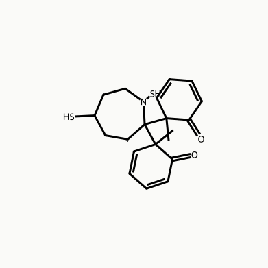 CC1(C2(C3(C)C=CC=CC3=O)[CH]CC(S)CCN2S)C=CC=CC1=O